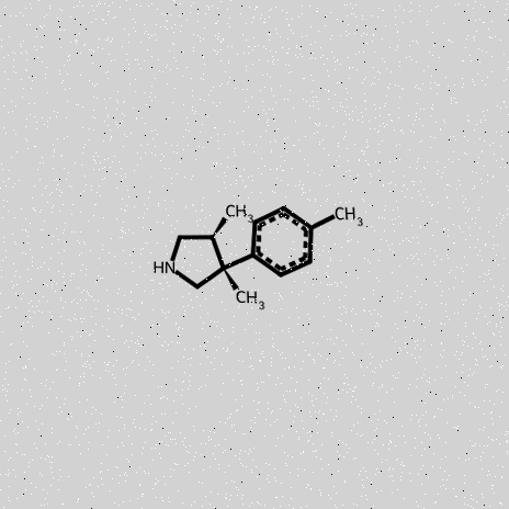 Cc1ccc([C@]2(C)CNC[C@H]2C)cc1